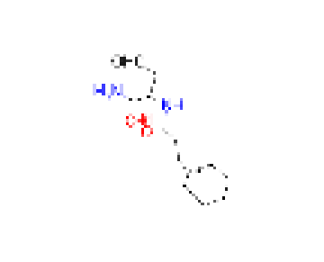 NC(O)C(CC=O)NC(O)CCC1=CCCCC1